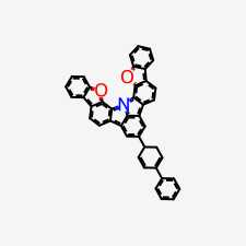 C1=CC(c2cc3c4ccc5c6ccccc6oc5c4n4c3c(c2)c2ccc3c5ccccc5oc3c24)CC=C1c1ccccc1